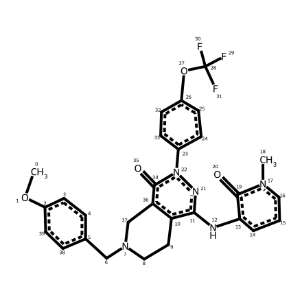 COc1ccc(CN2CCc3c(Nc4cccn(C)c4=O)nn(-c4ccc(OC(F)(F)F)cc4)c(=O)c3C2)cc1